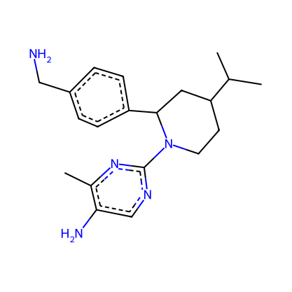 Cc1nc(N2CCC(C(C)C)CC2c2ccc(CN)cc2)ncc1N